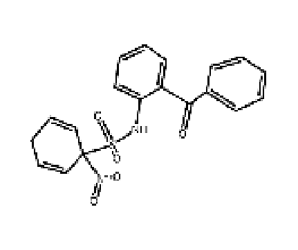 O=C(c1ccccc1)c1ccccc1NS(=O)(=O)C1([N+](=O)[O-])C=CCC=C1